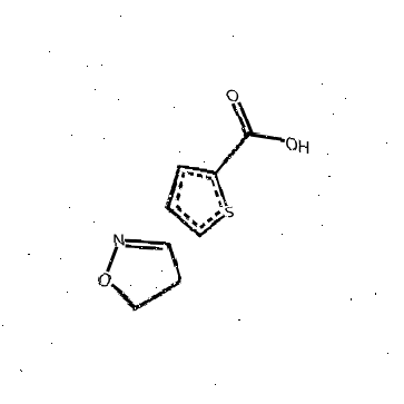 C1=NOCC1.O=C(O)c1cccs1